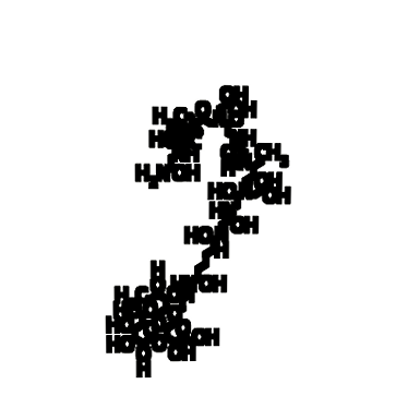 CCC(CCN(CC(O)O)C(O)CNC(O)CNC(O)CCCCC(O)NCCCO[C@@H]1OC(CO)[C@H](O)C(O[C@H]2OC(CO)[C@H](O)C(O)C2O)C1O[C@H]1CC(O)[C@H](O)C(C)O1)NCC(O)NCC(=O)N(CC(=O)C(CC)(CC)NCC(O)NCC(N)O)CC(O)O